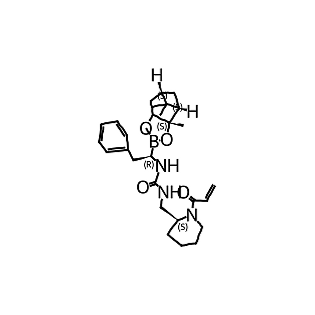 C=CC(=O)N1CCCC[C@H]1CNC(=O)N[C@@H](Cc1ccccc1)B1OC2C[C@@H]3C[C@@H](C3(C)C)[C@]2(C)O1